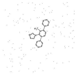 Cc1c(-c2ccccc2)ccc(-c2ccccc2)c1-n1ccnc1